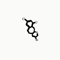 Clc1cc(Cl)c2c(c1)CCc1cc(Br)cnc1C2